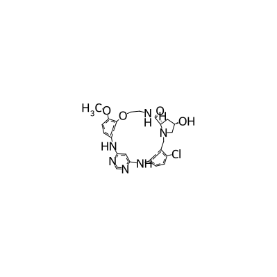 COc1ccc2cc1OCCNC(=O)[C@H]1C[C@@H](O)CN1Cc1cc(ccc1Cl)Nc1cc(ncn1)N2